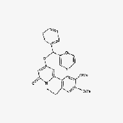 COc1cc2c(cc1OC)-c1cc(OC(C3=CC=CCC3)C3=COC=CO3)cc(=O)n1CC2